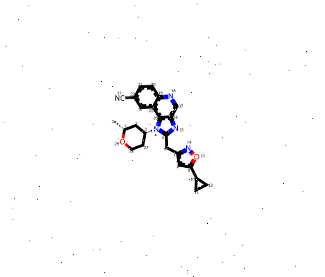 C[C@@H]1C[C@H](n2c(Cc3cc(C4CC4)on3)nc3cnc4ccc(C#N)cc4c32)CCO1